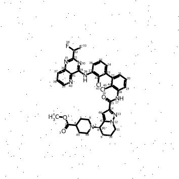 COC(=O)C1CCN([C@@H]2CCCn3nc(C(=O)Nc4cccc(-c5cccc(Nc6nc(C(F)F)nc7cccnc67)c5Cl)c4Cl)cc32)CC1